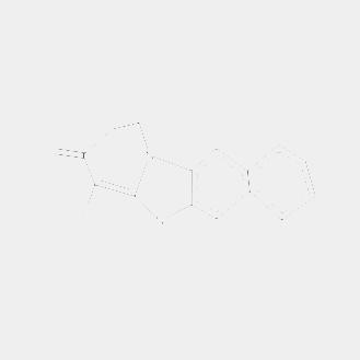 O=C(O)C1=C2Nc3cc4ccccc4cc3N2CCC1=O